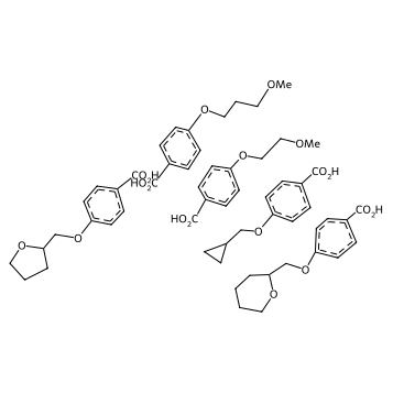 COCCCOc1ccc(C(=O)O)cc1.COCCOc1ccc(C(=O)O)cc1.O=C(O)c1ccc(OCC2CC2)cc1.O=C(O)c1ccc(OCC2CCCCO2)cc1.O=C(O)c1ccc(OCC2CCCO2)cc1